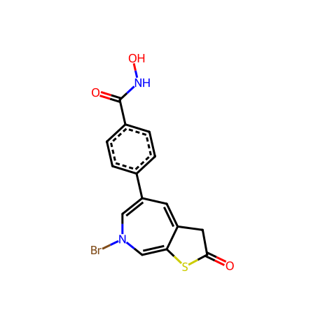 O=C1CC2=CC(c3ccc(C(=O)NO)cc3)=CN(Br)C=C2S1